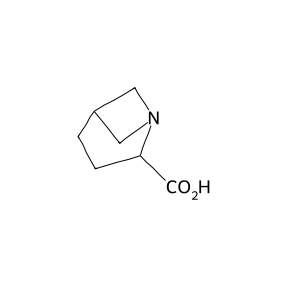 O=C(O)C1CCC2CN1C2